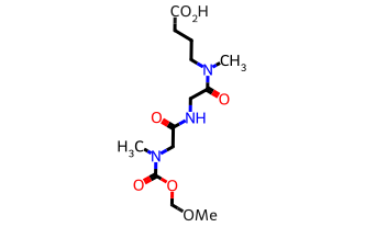 COCOC(=O)N(C)CC(=O)NCC(=O)N(C)CCCC(=O)O